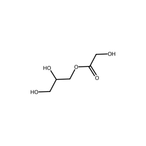 O=C(CO)OCC(O)CO